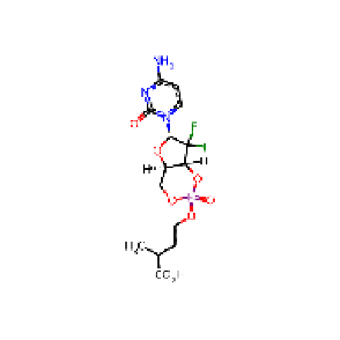 C[C@@H](CCOP1(=O)OC[C@H]2O[C@@H](n3ccc(N)nc3=O)C(F)(F)[C@@H]2O1)C(=O)O